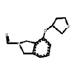 O=CN1Cc2cccc(OC3CCOC3)c2C1